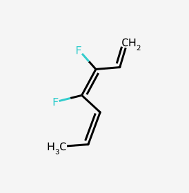 C=C/C(F)=C(F)\C=C/C